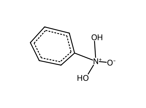 [O-][N+](O)(O)c1ccccc1